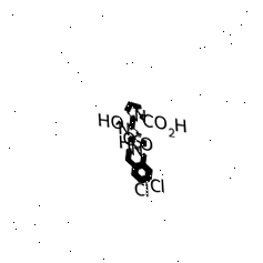 O=C(O)N1CCC[C@H]1[C@H](CS(=O)(=O)N1CCc2cc(Cl)c(Cl)cc2C1)NO